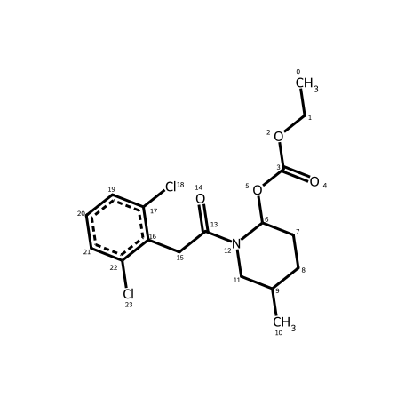 CCOC(=O)OC1CCC(C)CN1C(=O)Cc1c(Cl)cccc1Cl